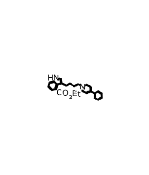 CCOC(=O)c1cccc2[nH]cc(CCCCN3CC=C(c4ccccc4)CC3)c12